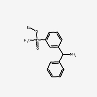 CCOP(C)(=O)c1cccc(C(N)c2ccccc2)c1